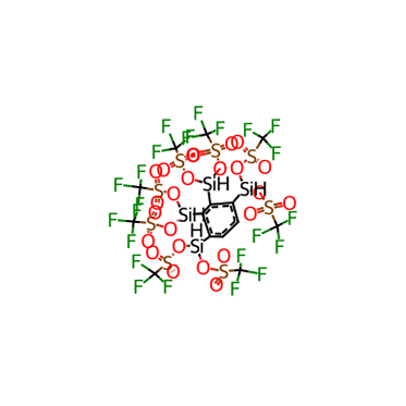 O=S(=O)(O[SiH](OS(=O)(=O)C(F)(F)F)c1ccc([SiH](OS(=O)(=O)C(F)(F)F)OS(=O)(=O)C(F)(F)F)c([SiH](OS(=O)(=O)C(F)(F)F)OS(=O)(=O)C(F)(F)F)c1[SiH](OS(=O)(=O)C(F)(F)F)OS(=O)(=O)C(F)(F)F)C(F)(F)F